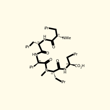 CN[C@@H](CC(C)C)C(=O)N[C@@H](CC(C)C)C(=O)N[C@@H](C(=O)N(C)[C@@H](CC(C)C)C(=O)N[C@@H](CC(C)C)C(=O)O)C(C)C